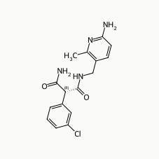 Cc1nc(N)ccc1CNC(=O)[C@@H](C(N)=O)c1cccc(Cl)c1